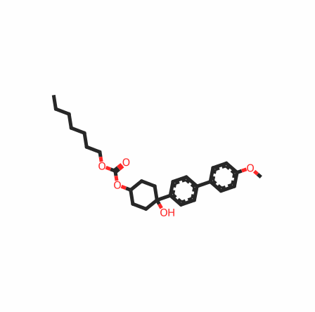 CCCCCCCOC(=O)OC1CCC(O)(c2ccc(-c3ccc(OC)cc3)cc2)CC1